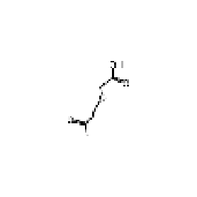 CC(=O)CCOCC(=O)O